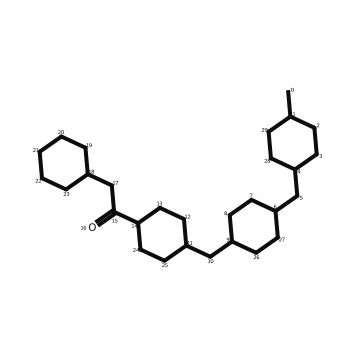 CC1CCC(CC2CCC(CC3CCC(C(=O)CC4CCCCC4)CC3)CC2)CC1